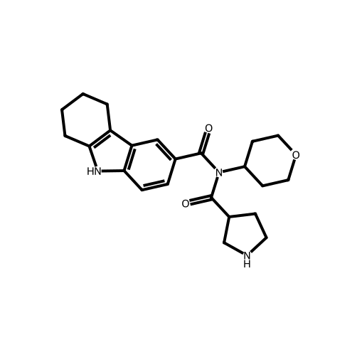 O=C(c1ccc2[nH]c3c(c2c1)CCCC3)N(C(=O)C1CCNC1)C1CCOCC1